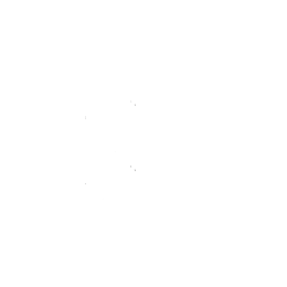 O=C1CCN(CCCO)CC1.O=C1CCN(CCCO)CC1